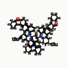 CC(C)(C)c1cc(-c2ccccc2)c(N2c3cc(-c4ccc5oc6ccccc6c5c4)ccc3B3c4ccc(-c5ccc6oc7ccccc7c6c5)cc4N(c4c(-c5ccccc5)cc(C(C)(C)C)cc4-c4ccccc4)c4cc(-n5c6ccccc6c6ccccc65)cc2c43)c(-c2ccccc2)c1